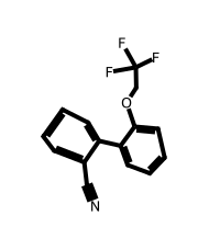 N#Cc1ccccc1-c1ccccc1OCC(F)(F)F